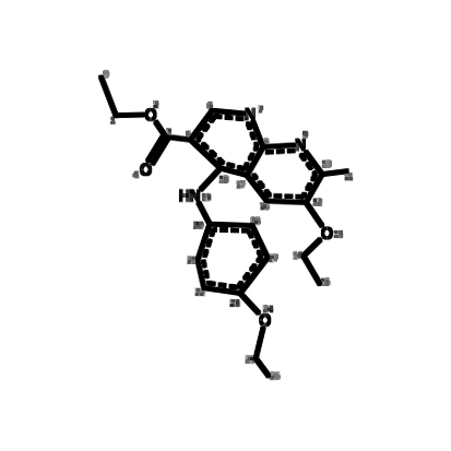 CCOC(=O)c1cnc2nc(C)c(OCC)cc2c1Nc1ccc(OCC)cc1